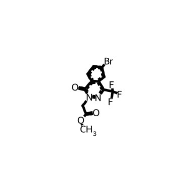 COC(=O)Cn1nc(C(F)(F)F)c2cc(Br)ccc2c1=O